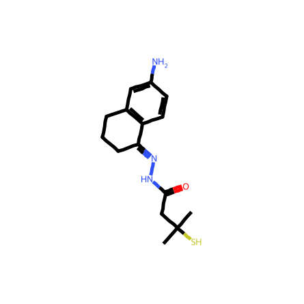 CC(C)(S)CC(=O)NN=C1CCCc2cc(N)ccc21